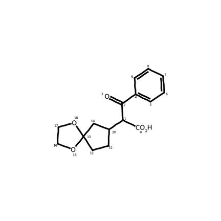 O=C(O)C(C(=O)c1ccccc1)C1CCC2(C1)OCCO2